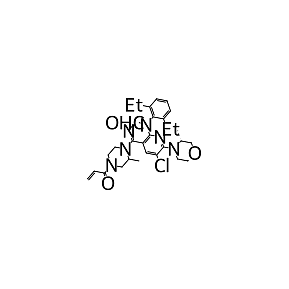 C=CC(=O)N1CCN(/C(=N/C)c2cc(Cl)c(N3CCOC[C@H]3C)nc2N(C=O)c2c(CC)cccc2CC)C(C)C1